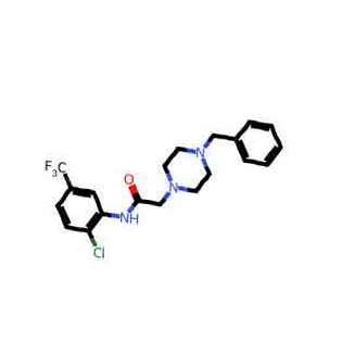 O=C(CN1CCN(Cc2ccccc2)CC1)Nc1cc(C(F)(F)F)ccc1Cl